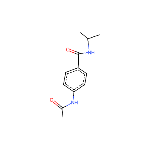 CC(=O)Nc1ccc(C(=O)NC(C)C)cc1